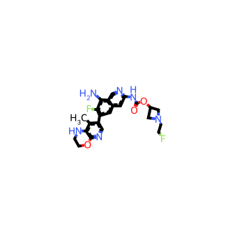 Cc1c(-c2cc3cc(NC(=O)OC4CN(CCF)C4)ncc3c(N)c2F)cnc2c1NCCO2